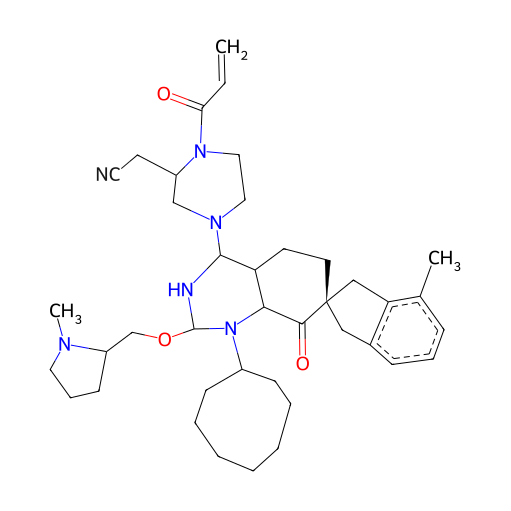 C=CC(=O)N1CCN(C2NC(OCC3CCCN3C)N(C3CCCCCCC3)C3C(=O)[C@@]4(CCC23)Cc2cccc(C)c2C4)CC1CC#N